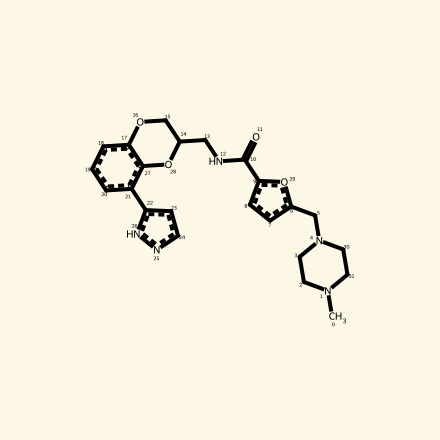 CN1CCN(Cc2ccc(C(=O)NCC3COc4cccc(-c5ccn[nH]5)c4O3)o2)CC1